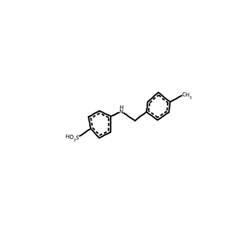 Cc1ccc(CNc2ccc(S(=O)(=O)O)cc2)cc1